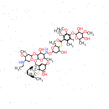 CC#C/C=C\C#C[C@H](OC1OC(C)C(NOC2CC(O)C(SC(=O)c3c(C)c(I)c(OC4OC(C)C(O)C(OC)C4O)c(OC)c3OC)C(C)O2)C(O)C1OC1CC(OC)C(NCC)CO1)C1=CC(=O)C[C@@H](O)C1(C)SC